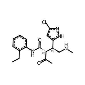 CCc1ccccc1NC(=O)[C@@H](C(C)=O)[C@H](CNC)c1cc(Cl)n[nH]1